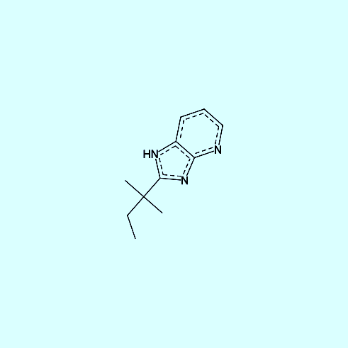 CCC(C)(C)c1nc2ncccc2[nH]1